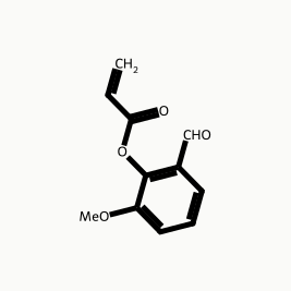 C=CC(=O)Oc1c(C=O)cccc1OC